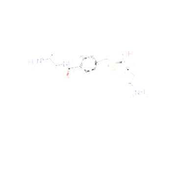 CC(C)(CCN)C(O)=[SH]Cc1ccc(C(=O)NCCN)cc1